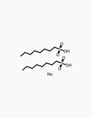 CCCCCCCCS(=O)(=O)O.CCCCCCCCS(=O)(=O)O.[Na]